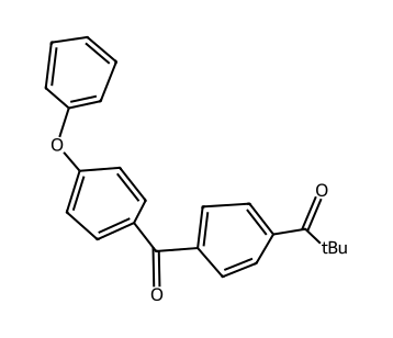 CC(C)(C)C(=O)c1ccc(C(=O)c2ccc(Oc3ccccc3)cc2)cc1